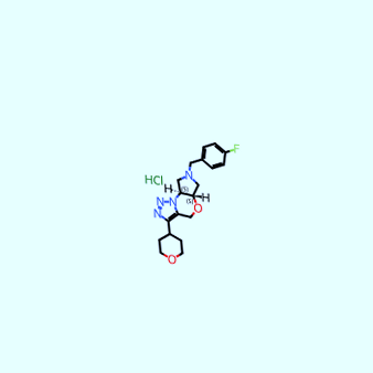 Cl.Fc1ccc(CN2C[C@@H]3OCc4c(C5CCOCC5)nnn4[C@H]3C2)cc1